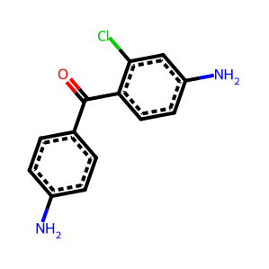 Nc1ccc(C(=O)c2ccc(N)cc2Cl)cc1